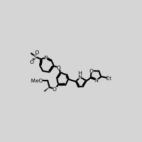 CCC1COC(c2ccc(-c3cc(OC4=CCC=C(S(C)(=O)=O)N=C4)cc(O[C@@H](C)COC)c3)[nH]2)=N1